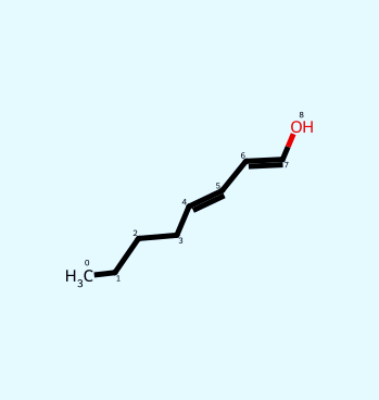 CCCC/C=C/C=C/O